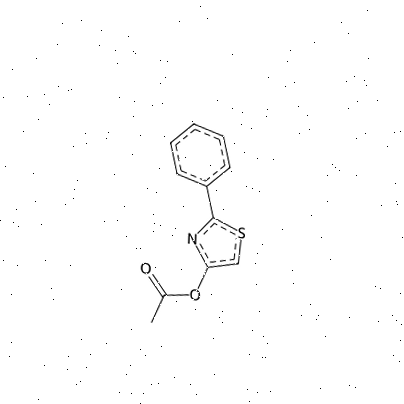 CC(=O)Oc1csc(-c2ccccc2)n1